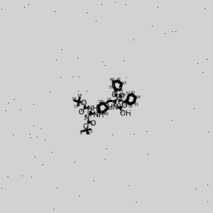 CC(C)(C)OC(=O)/N=C(/NC(=O)OC(C)(C)C)Nc1ccc(CC(NC(=O)O)P(=O)(Oc2ccccc2)Oc2ccccc2)cc1